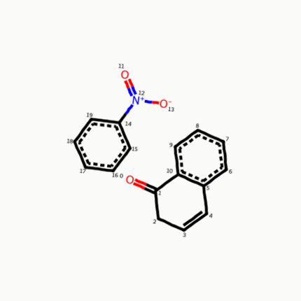 O=C1CC=Cc2ccccc21.O=[N+]([O-])c1ccccc1